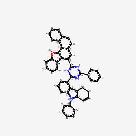 C1=Cc2c(c3c(-c4nc(-c5ccccc5)nc(-c5cc6ccc7ccccc7c6c6oc7ccccc7c56)n4)cccc3n2-c2ccccc2)CC1